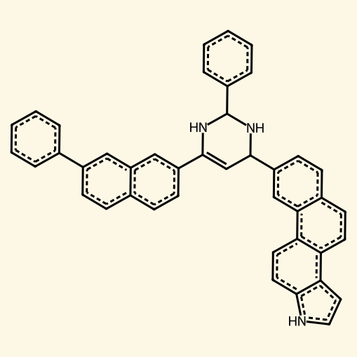 C1=C(c2ccc3ccc(-c4ccccc4)cc3c2)NC(c2ccccc2)NC1c1ccc2ccc3c4cc[nH]c4ccc3c2c1